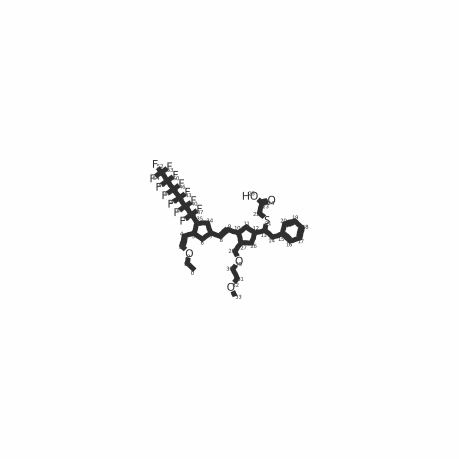 CCO/C=C\C1CC(/C=C/C2CC(C(Cc3ccccc3)SCC(=O)O)CC2COCCOC)CC1C(F)(F)C(F)(F)C(F)(F)C(F)(F)C(F)(F)C(F)(F)F